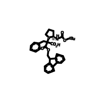 CC(C)(C)OC(=O)N[C@@H]1CCCN1C(Cc1ccccc1)(C(=O)O)C(=O)OCC1c2ccccc2-c2ccccc21